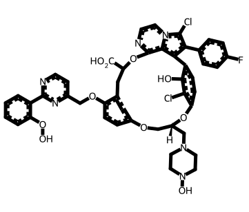 O=C(O)C1Cc2cc(ccc2OCc2ccnc(-c3ccccc3OO)n2)OC[C@@H](CN2CCN(O)CC2)Oc2ccc(c(O)c2Cl)-c2c(-c3ccc(F)cc3)c(Cl)n3ccnc(c23)O1